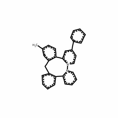 Cc1ccc2c(c1)Cc1ccccc1-c1cccc[n+]1-[n+]1ccc(-c3ccccc3)cc1-2